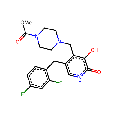 COC(=O)N1CCN(Cc2c(Cc3ccc(F)cc3F)c[nH]c(=O)c2O)CC1